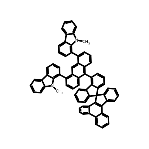 Cn1c2ccccc2c2cccc(-c3cccc4c(-c5cccc6c5-c5ccccc5C65c6ccccc6-c6c5c5ccccc5c5ccccc65)c5cccc(-c6cccc7c8ccccc8n(C)c67)c5cc34)c21